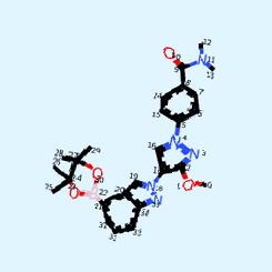 COc1nn(-c2ccc(C(=O)N(C)C)cc2)cc1-n1cc2c(B3OC(C)(C)C(C)(C)O3)cccc2n1